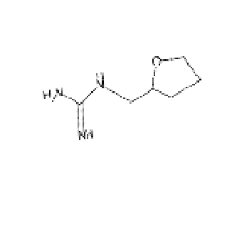 N=C(N)NCC1CCCO1